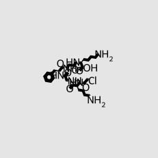 NCCCC[C@H](NC(=O)CNC(=O)[C@H](Cc1ccccc1)NC(=O)CNC(=O)[C@H](CCCCN)NC(=O)CCl)C(=O)O